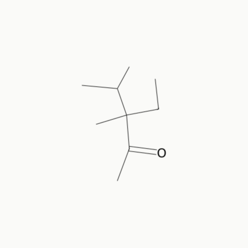 CCC(C)(C(C)=O)C(C)C